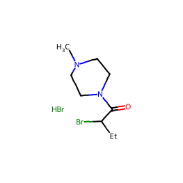 Br.CCC(Br)C(=O)N1CCN(C)CC1